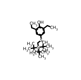 CCc1cc(SC[Si](C(C)(C)C)(C(C)(C)C)C(C)(C)C)cc(CC)c1O